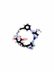 Cc1cnc2nc1Nc1cccc(c1)CCCNC(=O)c1ccc(cc1C(=O)O)-c1cnc(F)c(c1)N2